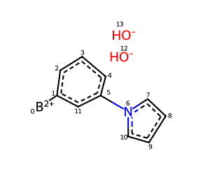 [B+2]c1cccc(-n2cccc2)c1.[OH-].[OH-]